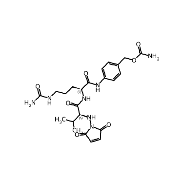 CC(C)[C@H](NN1C(=O)C=CC1=O)C(=O)N[C@@H](CCCNC(N)=O)C(=O)Nc1ccc(COC(N)=O)cc1